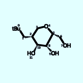 CC(C)(C)C[C@@H]1CO[C@H](CO)[C@H](O)[C@@H]1O